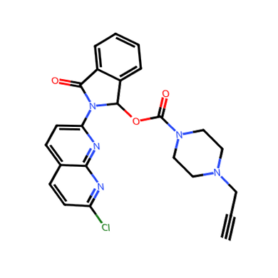 C#CCN1CCN(C(=O)OC2c3ccccc3C(=O)N2c2ccc3ccc(Cl)nc3n2)CC1